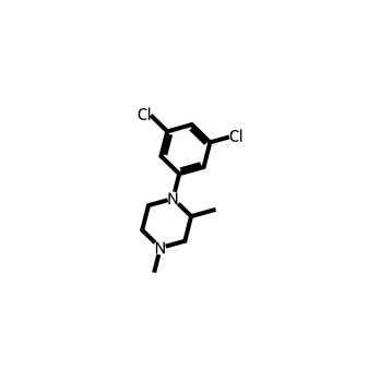 CC1CN(C)CCN1c1cc(Cl)cc(Cl)c1